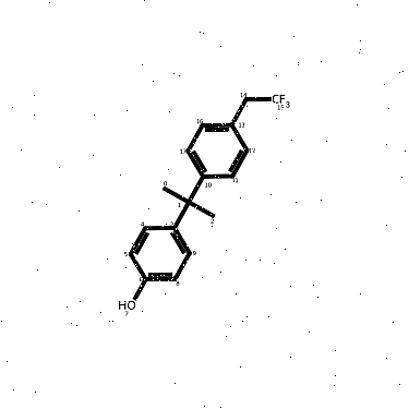 CC(C)(c1ccc(O)cc1)c1ccc(CC(F)(F)F)cc1